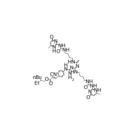 C=C(/N=C(\N=C(/N)Nc1ccc(/C=C(\C#N)C(=O)OCC(CC)CCCC)cc1)NCCCCNC(=O)Nc1nc(=O)cc(C)[nH]1)NCCCCNC(=O)Nc1nc(=O)cc(C)[nH]1